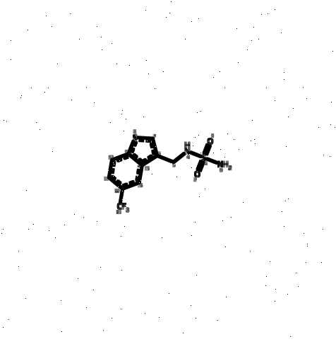 NS(=O)(=O)NCc1csc2ccc(C(F)(F)F)cc12